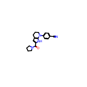 N#Cc1ccc(N2CCCc3cc(C(=O)N4CCCC4)[nH]c32)cc1